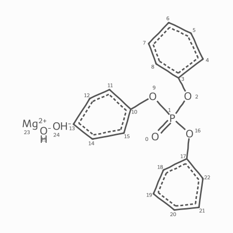 O=P(Oc1ccccc1)(Oc1ccccc1)Oc1ccccc1.[Mg+2].[OH-].[OH-]